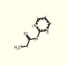 CCC(=O)Sc1ncccn1